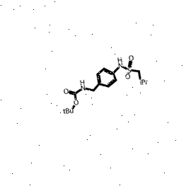 CC(C)CS(=O)(=O)Nc1ccc(CNC(=O)OC(C)(C)C)cc1